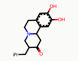 CC(C)CC1CN2CCc3cc(O)c(O)cc3C2CC1=O